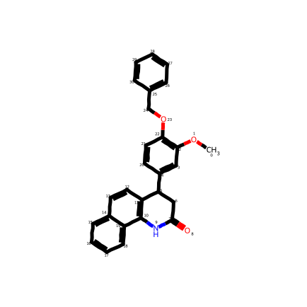 COc1cc(C2CC(=O)Nc3c2ccc2ccccc32)ccc1OCc1ccccc1